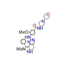 CN/C(=C1\C(=N)CCc2cnc(Nc3ccc(C(=O)NC4CCN(C5CCOCC5)CC4)cc3OC)nc21)c1ccccc1